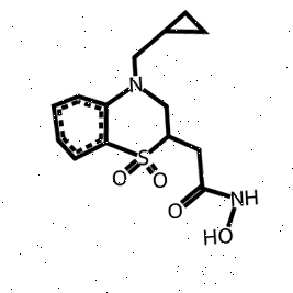 O=C(CC1CN(CC2CC2)c2ccccc2S1(=O)=O)NO